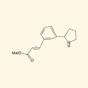 COC(=O)/C=C/c1cccc(C2CCCN2)c1